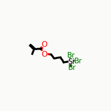 C=C(C)C(=O)OCCCC[Si](Br)(Br)Br